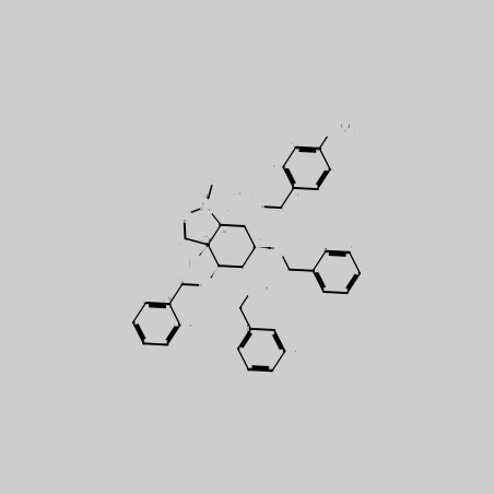 COc1ccc(CO[C@@H]2[C@@H](OCc3ccccc3)[C@H](OCc3ccccc3)[C@@H](OCc3ccccc3)[C@@H]3CON(C)[C@H]32)cc1